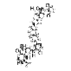 Cn1nc(N2C(=O)CCCC2=O)c2ccc(C3CCN(CC4CCC5(CC4)CCN(c4ncc(Cl)c(Nc6ccc7c(c6)c6c(c(=O)n7C)OCC(F)(F)[C@H](C7CC7)N6)n4)CC5)CC3)c(F)c21